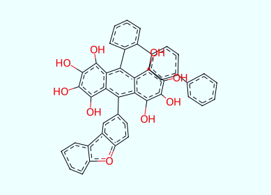 Oc1c(O)c(O)c2c(-c3ccccc3-c3ccc(-c4ccccc4)cc3)c3c(O)c(O)c(O)c(O)c3c(-c3ccc4oc5ccccc5c4c3)c2c1O